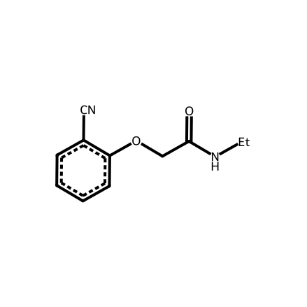 CCNC(=O)COc1ccccc1C#N